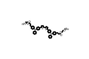 CCCC(C)(C)OC(=O)CCc1ccc(N(c2ccccc2)c2ccc(-c3ccc(-c4ccc(-c5ccc(N(c6ccccc6)c6ccc(CCC(=O)OCCOC(C)(C)C)cc6)cc5)s4)s3)cc2)cc1